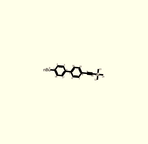 CCCCc1ccc(-c2ccc(C#C[Si](C)(C)C)cc2)cc1